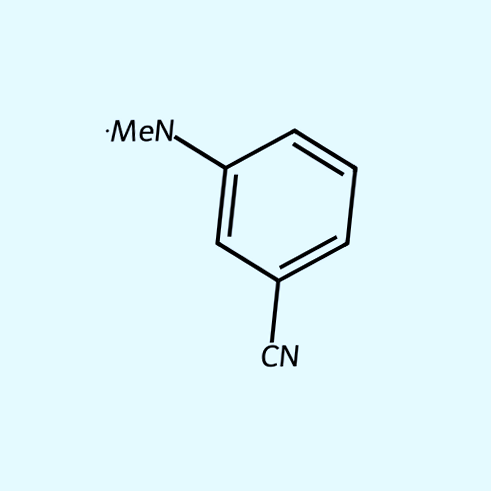 C[N]c1cccc(C#N)c1